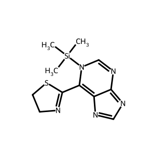 C[Si](C)(C)n1cnc2ncnc-2c1C1=NCCS1